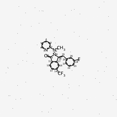 CN(c1ccccn1)N1C(=O)c2ccc(C(F)(F)F)cc2C1=Cc1cccc(F)c1